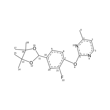 Cc1ccnc(Oc2ccc(C3OC(C)(C)C(C)(C)O3)cc2F)n1